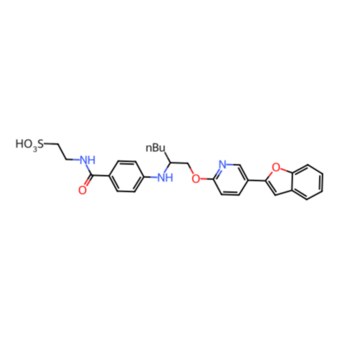 CCCCC(COc1ccc(-c2cc3ccccc3o2)cn1)Nc1ccc(C(=O)NCCS(=O)(=O)O)cc1